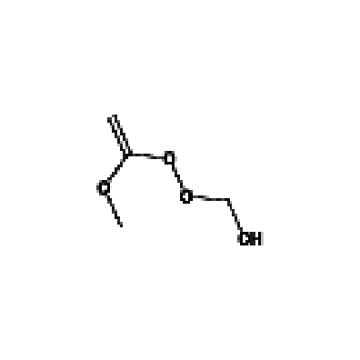 C=C(OC)OOCO